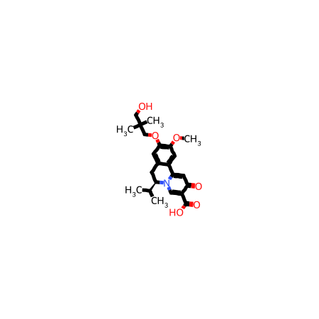 COc1cc2c(cc1OCC(C)(C)CO)C[C@H](C(C)C)n1cc(C(=O)O)c(=O)cc1-2